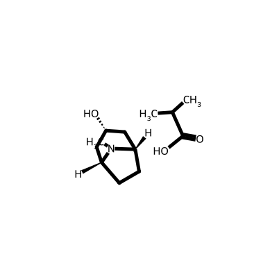 CC(C)C(=O)O.CN1[C@@H]2CC[C@H]1C[C@@H](O)C2